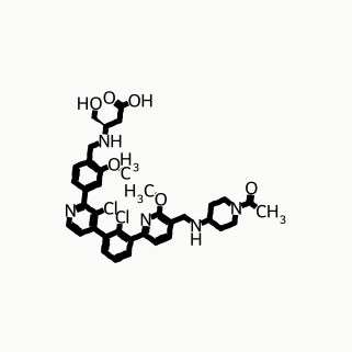 COc1cc(-c2nccc(-c3cccc(-c4ccc(CNC5CCN(C(C)=O)CC5)c(OC)n4)c3Cl)c2Cl)ccc1CN[C@@H](CO)CC(=O)O